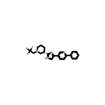 FC(F)(F)CN1CCC[C@H](c2nc(-c3ccc(-c4ccccc4)nc3)c[nH]2)C1